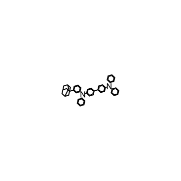 c1ccc(N(c2ccccc2)c2ccc(-c3ccc(N(c4ccccc4)c4cccc(C56CC7CC(CC(C7)C5)C6)c4)cc3)cc2)cc1